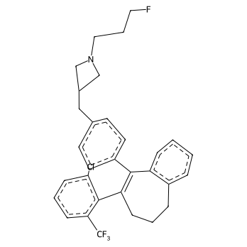 FCCCN1CC(Cc2ccc(C3=C(c4c(Cl)cccc4C(F)(F)F)CCCc4ccccc43)cc2)C1